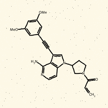 C=CC(=O)N1CCC(n2cc(C#Cc3cc(OC)cc(OC)c3)c3c(N)nccc32)C1